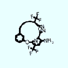 Nc1cc(C(F)(F)F)c2nc1-c1nnc(o1)C(C(F)(F)F)CCCCc1cccc(c1)O2